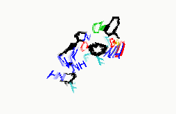 O=S(=O)(Cc1cccc(Cl)c1)Nc1c(F)cc(Oc2ncccc2-c2ccnc(NC3CNC[C@@H](F)C3)n2)c(F)c1F